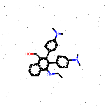 CCNc1c(-c2ccc(N(C)C)cc2)c(-c2ccc(N(C)C)cc2)c(CO)c2ccccc12